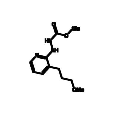 COCCCc1cccnc1NNC(=O)OC(C)(C)C